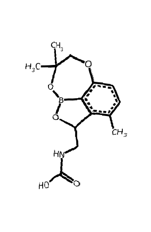 Cc1ccc2c3c1C(CNC(=O)O)OB3OC(C)(C)CO2